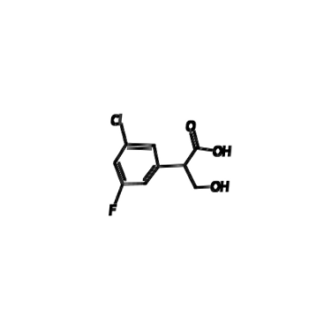 O=C(O)C(CO)c1cc(F)cc(Cl)c1